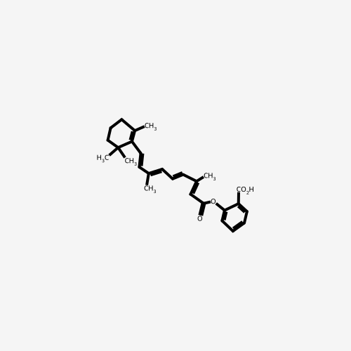 CC(C=CC1=C(C)CCCC1(C)C)=CC=CC(C)=CC(=O)Oc1ccccc1C(=O)O